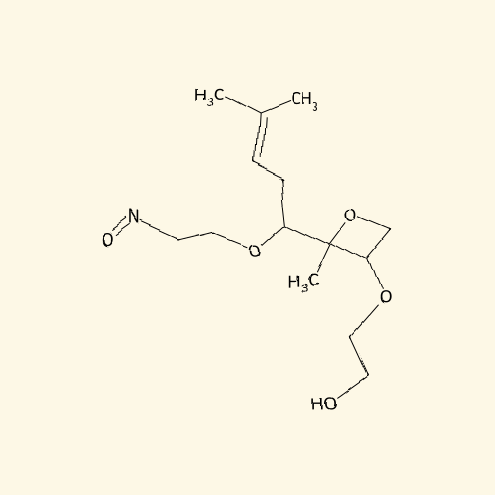 CC(C)=CCC(OCCN=O)C1(C)OCC1OCCO